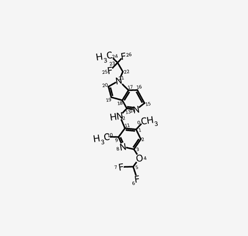 Cc1cc(OC(F)F)nc(C)c1Nc1nccc2c1ccn2CC(C)(F)F